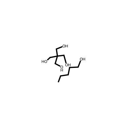 CCCCCO.OCC(CO)(CO)CO